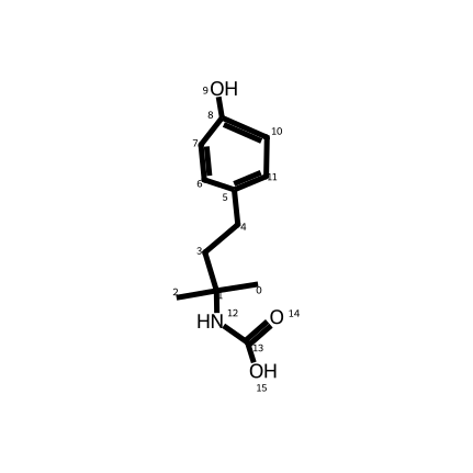 CC(C)(CCc1ccc(O)cc1)NC(=O)O